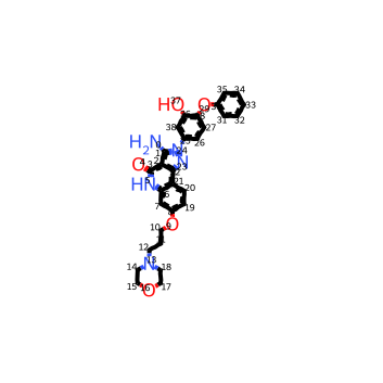 Nc1c2c(=O)[nH]c3cc(OCCCN4CCOCC4)ccc3c2nn1-c1ccc(Oc2ccccc2)c(O)c1